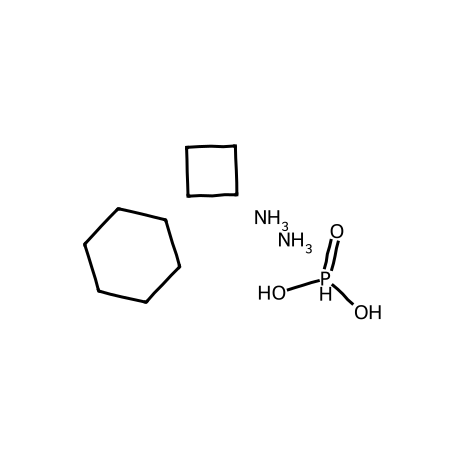 C1CCC1.C1CCCCC1.N.N.O=[PH](O)O